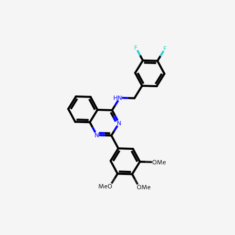 COc1cc(-c2nc(NCc3ccc(F)c(F)c3)c3ccccc3n2)cc(OC)c1OC